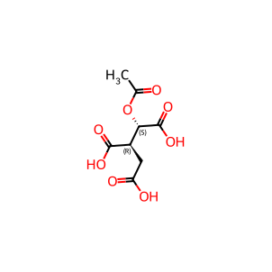 CC(=O)O[C@H](C(=O)O)[C@@H](CC(=O)O)C(=O)O